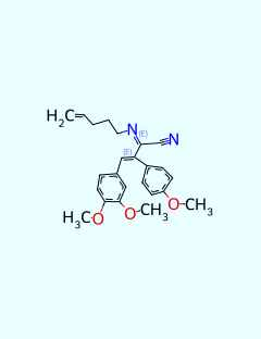 C=CCCC/N=C(C#N)\C(=C\c1ccc(OC)c(OC)c1)c1ccc(OC)cc1